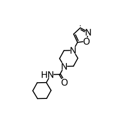 O=C(NC1CCCCC1)N1CCN(c2c[c]no2)CC1